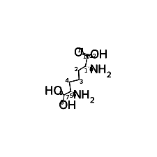 N[C@H](CCC[C@H](N)C(O)O)C(=O)O